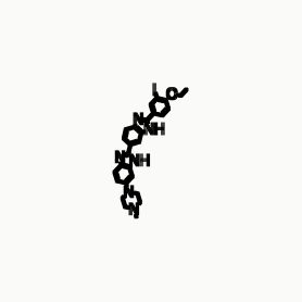 CCOc1ccc(-c2nc3ccc(-c4nc5ccc(N6CCN(C)CC6)cc5[nH]4)cc3[nH]2)cc1I